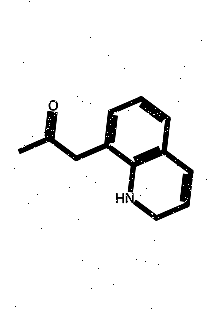 CC(=O)Cc1cccc2c1NCC=C2